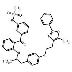 Cc1oc(-c2ccccc2)nc1CCOc1ccc(CC(Nc2ccccc2C(=O)c2cccc(NS(C)(=O)=O)c2)C(=O)O)cc1